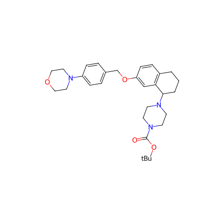 CC(C)(C)OC(=O)N1CCN(C2CCCc3ccc(OCc4ccc(N5CCOCC5)cc4)cc32)CC1